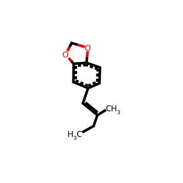 CC/C(C)=C/c1ccc2c(c1)OCO2